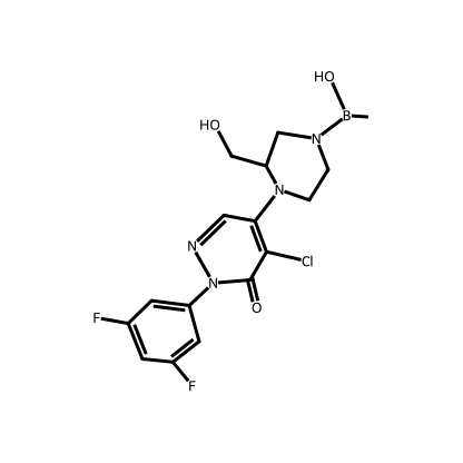 CB(O)N1CCN(c2cnn(-c3cc(F)cc(F)c3)c(=O)c2Cl)C(CO)C1